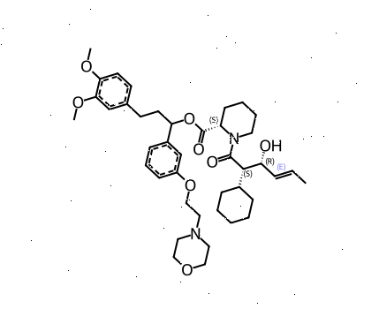 C/C=C/[C@@H](O)[C@@H](C(=O)N1CCCC[C@H]1C(=O)OC(CCc1ccc(OC)c(OC)c1)c1cccc(OCCN2CCOCC2)c1)C1CCCCC1